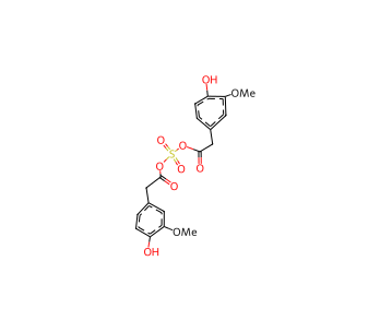 COc1cc(CC(=O)OS(=O)(=O)OC(=O)Cc2ccc(O)c(OC)c2)ccc1O